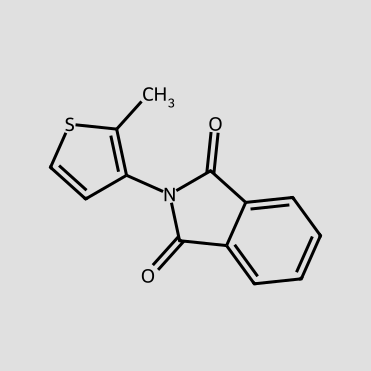 Cc1sccc1N1C(=O)c2ccccc2C1=O